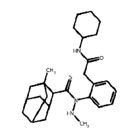 CNN(C(=S)C1C2CC3CC(C2)CC1(C)C3)c1ccccc1CC(=O)NC1CCCCC1